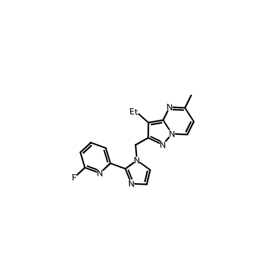 CCc1c(Cn2ccnc2-c2cccc(F)n2)nn2ccc(C)nc12